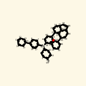 Fc1ccc(N(c2ccc(-c3ccccc3)cc2)c2ccc(-c3ccc4c5c(ccc(-c6ccccc6)c35)C=C4)cc2)cc1